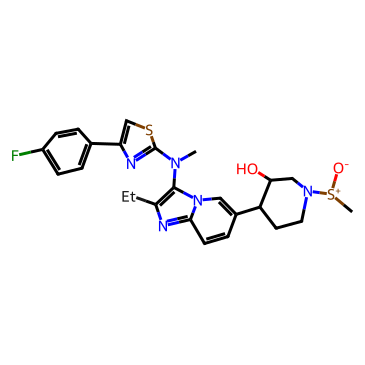 CCc1nc2ccc(C3CCN([S+](C)[O-])CC3O)cn2c1N(C)c1nc(-c2ccc(F)cc2)cs1